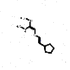 CNC(=CO/C=C/C1CCCC1)NC